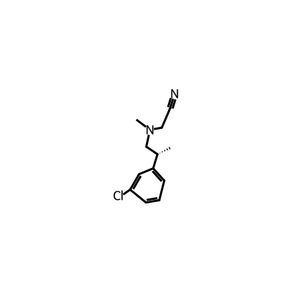 C[C@@H](CN(C)CC#N)c1cccc(Cl)c1